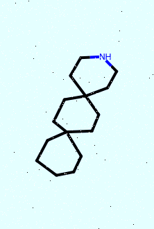 C1CCC2(CC1)CCC1(CCNCC1)CC2